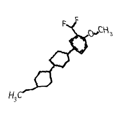 CCCC1CCC(C2CCC(c3ccc(OCC)c(C(F)F)c3)CC2)CC1